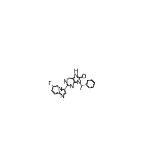 CC(c1ccccc1)n1c(=O)[nH]c2cnc(-c3cnc4ccc(F)cn34)nc21